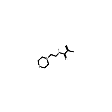 C=C(C)C(=O)NCCN1CCSCC1